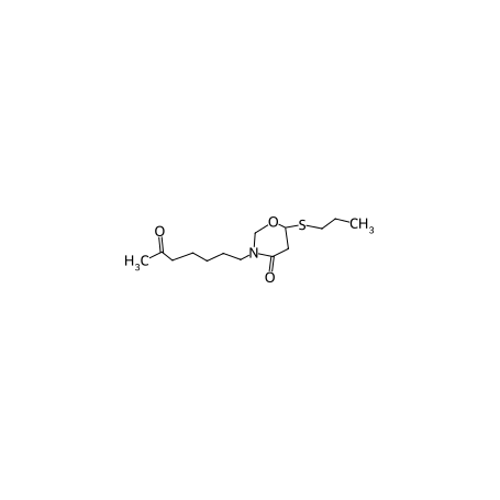 CCCSC1CC(=O)N(CCCCCC(C)=O)CO1